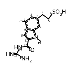 Cc1cc(CCS(=O)(=O)O)cc2c1cc(C(=O)NC(=N)N)n2C